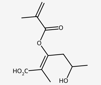 C=C(C)C(=O)OC(CC(C)O)=C(C)C(=O)O